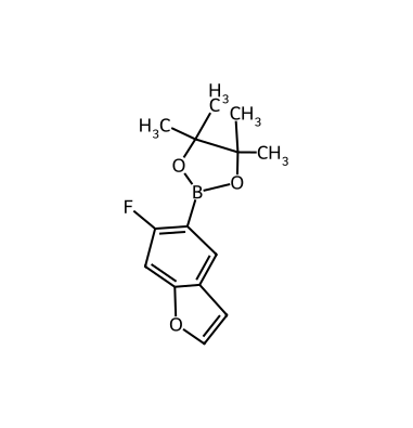 CC1(C)OB(c2cc3ccoc3cc2F)OC1(C)C